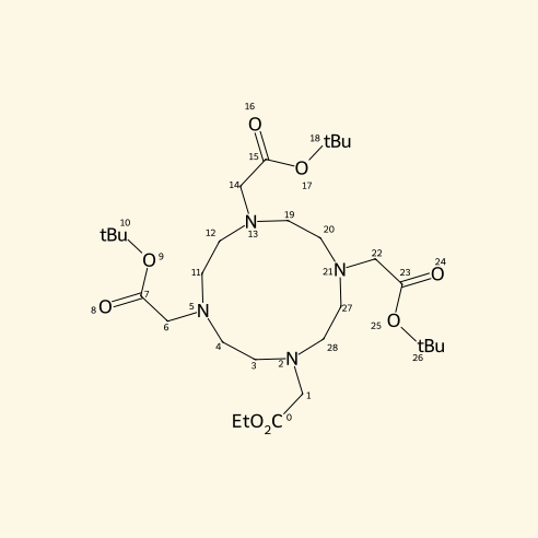 CCOC(=O)CN1CCN(CC(=O)OC(C)(C)C)CCN(CC(=O)OC(C)(C)C)CCN(CC(=O)OC(C)(C)C)CC1